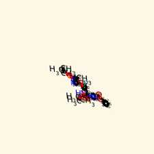 Cc1cn(COCC[Si](C)(C)C)c2nccc(Oc3ccc(C[C@H](NC(=O)OC(C)(C)C)C(=O)N4CCN(C(=O)OCc5ccccc5)CC4)cc3F)c12